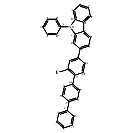 Brc1cc(-c2ccc3c4ccccc4n(-c4ccccc4)c3c2)ccc1-c1ccc(-c2ccccc2)cc1